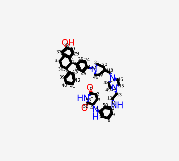 O=C1CCC(Nc2cccc(NCCN3CCN(CC4CCN(c5ccc([C@@H]6c7ccc(O)cc7CC[C@@H]6c6ccccc6)cc5)CC4)CC3)c2)C(=O)N1